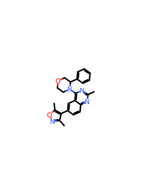 Cc1nc(N2CCOCC2c2ccccc2)c2cc(-c3c(C)noc3C)ccc2n1